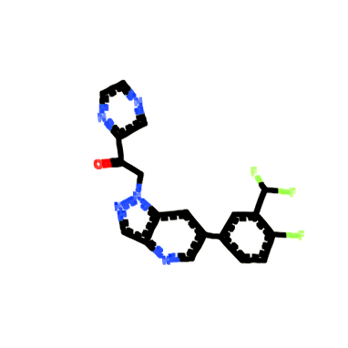 O=C(Cn1ncc2ncc(-c3ccc(F)c(C(F)F)c3)cc21)c1cnccn1